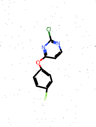 Fc1ccc(Oc2ccnc(Cl)n2)cc1